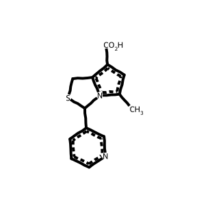 Cc1cc(C(=O)O)c2n1C(c1cccnc1)SC2